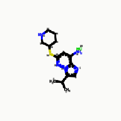 CC(C)c1cnc2c(N)cc(SC3CCCNC3)nn12.Cl